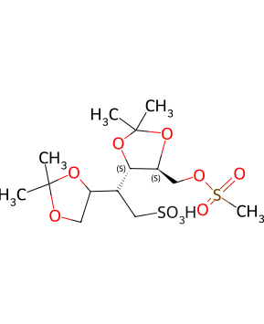 CC1(C)OCC(C(CS(=O)(=O)O)[C@@H]2OC(C)(C)O[C@H]2COS(C)(=O)=O)O1